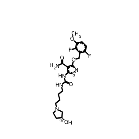 COc1ccc(F)c(COc2nsc(NC(=O)NCCCCN3CC[C@H](O)C3)c2C(N)=O)c1F